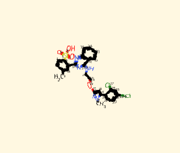 Cc1ccc(S(=O)(=O)O)c(-c2nc(NCCOc3cc(-c4ccc(Cl)cc4Cl)n(C)n3)c3ccccc3n2)c1